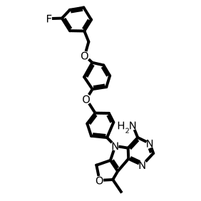 CC1OCc2c1c1ncnc(N)c1n2-c1ccc(Oc2cccc(OCc3cccc(F)c3)c2)cc1